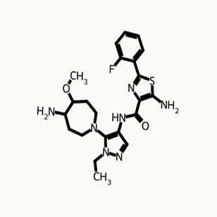 CCn1ncc(NC(=O)c2nc(-c3ccccc3F)sc2N)c1N1CCC(N)C(OC)CC1